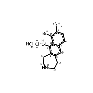 Cc1c2c(nc3ccc(N)c(Br)c13)CCNCC2.Cl.Cl